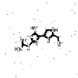 Br.N=C(N)Nc1nc(-c2c[nH]c(CO)n2)cs1